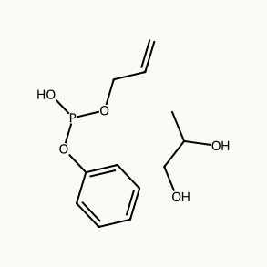 C=CCOP(O)Oc1ccccc1.CC(O)CO